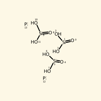 O=[Si](O)O.O=[Si](O)O.O=[Si](O)O.[P].[P]